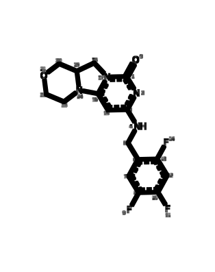 O=c1nc(NCc2cc(F)c(F)cc2F)cc2n1CC1COCCN21